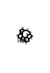 Oc1ccc2ccc3cc2c1-c1c(O)ccc2ccc(cc12)CC3